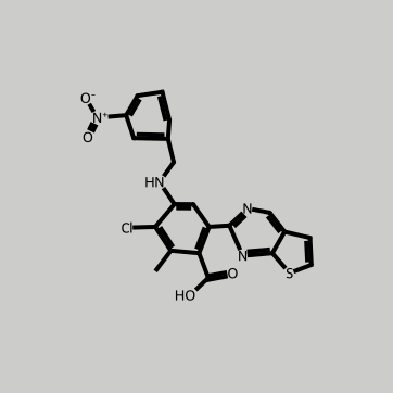 Cc1c(Cl)c(NCc2cccc([N+](=O)[O-])c2)cc(-c2ncc3ccsc3n2)c1C(=O)O